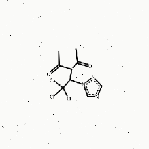 CC(=O)C(C(C)=O)C(n1cncn1)C(Cl)(Cl)Cl